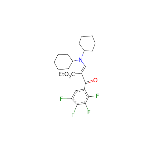 CCOC(=O)C(=CN(C1CCCCC1)C1CCCCC1)C(=O)c1cc(F)c(F)c(F)c1F